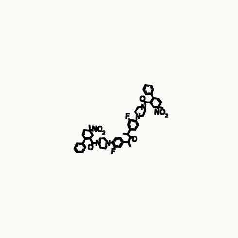 CC(C(=O)C(C)c1ccc(N2CCN(C(=O)C3=C(c4ccccc4)C=CC(C)([N+](=O)[O-])C3)CC2)c(F)c1)c1ccc(N2CCN(C(=O)C3=C(c4ccccc4)C=CC(C)([N+](=O)[O-])C3)CC2)c(F)c1